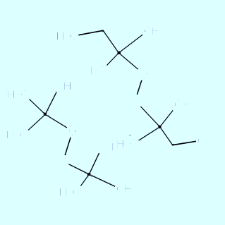 CC(C)(C)OOC(C)(C)C.CCC(C)(C)OOC(C)(C)CC